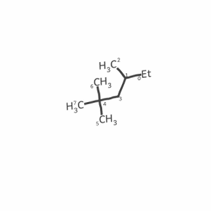 CCC(C)CC(C)(C)C